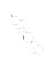 CC1=C2C[C@H]3[C@@H](CC[C@@H]4CC(=O)CC[C@@]43C)[C@@H]2CC[C@@]2(C1)O[C@@H]1C[C@H](C)CNC1[C@H]2C